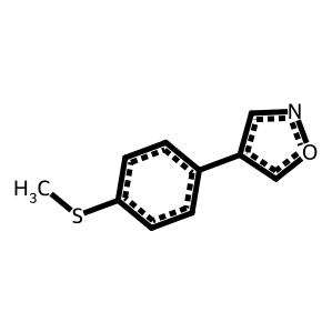 CSc1ccc(-c2cnoc2)cc1